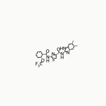 Cc1cc2nc(NC(=O)c3csc(NC(=O)c4ccccc4OC(F)(F)F)n3)[nH]c2cc1C